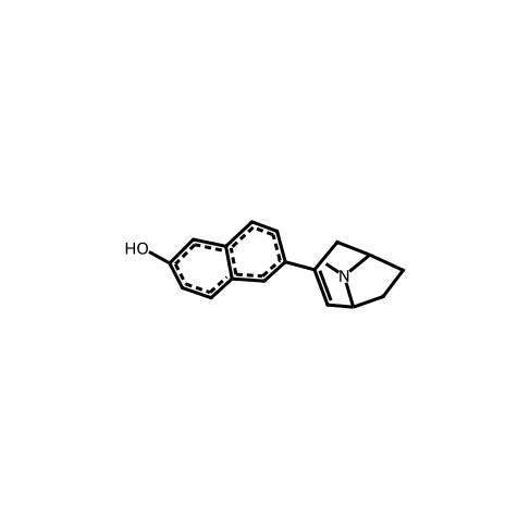 CN1C2C=C(c3ccc4cc(O)ccc4c3)CC1CC2